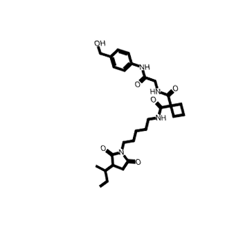 CCC(C)C1CC(=O)N(CCCCCNC(=O)C2(C(=O)NCC(=O)Nc3ccc(CO)cc3)CCC2)C1=O